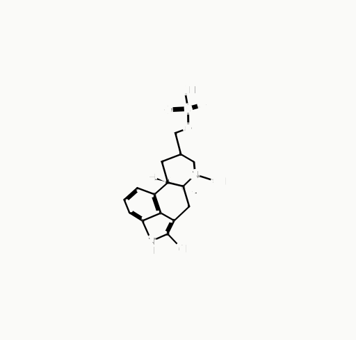 CN1CC(COS(C)(=O)=O)C[C@H]2c3cccc4[nH]c(Cl)c(c34)C[C@@H]21